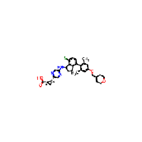 Cc1cc(OCC2CCOCC2)cc(C)c1-c1ccc(F)c2c1CCC2Nc1cnc([C@@H]2C[C@H]2C(=O)O)cn1